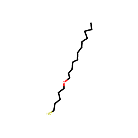 CCCCCCCCCCCCOCCCCCS